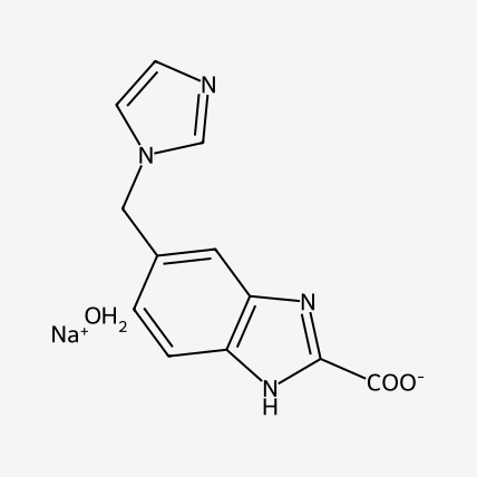 O.O=C([O-])c1nc2cc(Cn3ccnc3)ccc2[nH]1.[Na+]